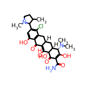 CC1CCN(C)C1c1cc(O)c2c(c1Cl)C[C@H]1C[C@H]3[C@H](N(C)C)C(O)=C(C(N)=O)C(=O)[C@@]3(O)C(O)=C1C2=O